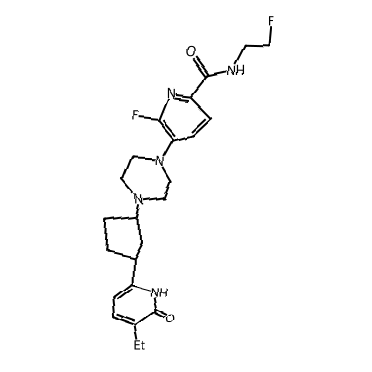 CCc1ccc(C2CCC(N3CCN(c4ccc(C(=O)NCCF)nc4F)CC3)C2)[nH]c1=O